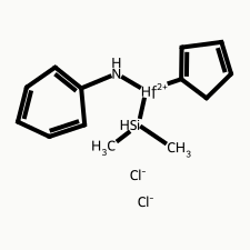 C[SiH](C)[Hf+2]([NH]c1ccccc1)[C]1=CC=CC1.[Cl-].[Cl-]